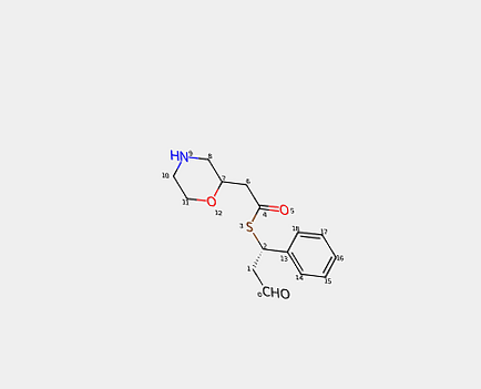 O=CC[C@H](SC(=O)CC1CNCCO1)c1ccccc1